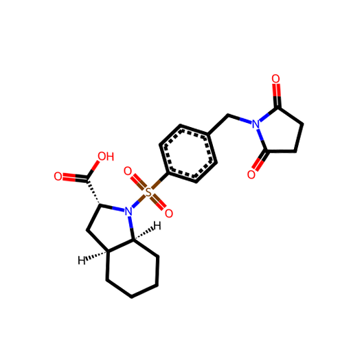 O=C(O)[C@H]1C[C@@H]2CCCC[C@@H]2N1S(=O)(=O)c1ccc(CN2C(=O)CCC2=O)cc1